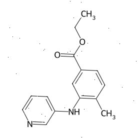 CCOC(=O)c1ccc(C)c(Nc2cccnc2)c1